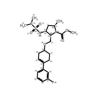 COC(=O)N1[C@H](C)C[C@H](NS(=O)(=O)N(C)C)[C@@H]1COC1CC=C(c2cccc(F)c2)CC1